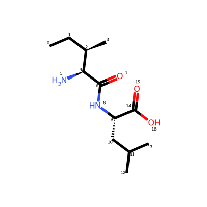 CC[C@@H](C)[C@H](N)C(=O)N[C@@H](CC(C)C)C(=O)O